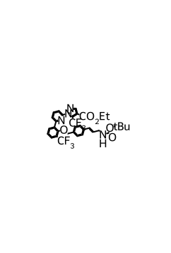 CCOC(=O)c1cnn(-c2cccc(-c3cccc(C(F)(F)F)c3OCc3ccc(C=CCNC(=O)OC(C)(C)C)cc3)n2)c1C(F)(F)F